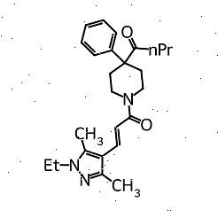 CCCC(=O)C1(c2ccccc2)CCN(C(=O)/C=C/c2c(C)nn(CC)c2C)CC1